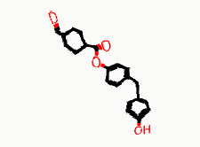 O=CC1CCC(C(=O)Oc2ccc(Cc3ccc(O)cc3)cc2)CC1